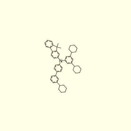 CC1(C)c2ccccc2-c2ccc(N(c3ccc(-c4cccc(C5CCCCC5)c4)cc3)c3cc(C4CCCCC4)cc(C4CCCCC4)c3)cc21